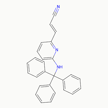 N#CC=Cc1cccc(NC(c2ccccc2)(c2ccccc2)c2ccccc2)n1